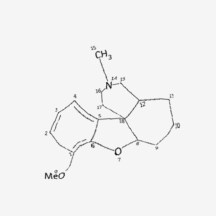 COc1cccc2c1OC1CCCC3CN(C)CCC231